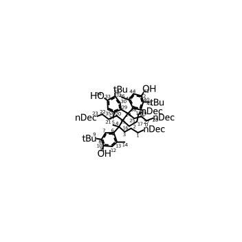 CCCCCCCCCCCCCC(C)(c1cc(C(C)(C)C)c(O)cc1C)C(CCCCCCCCCCCCC)(CCCCCCCCCCCCC)C(CCCCCCCCCCCCC)(c1cc(C(C)(C)C)c(O)cc1C)c1cc(C(C)(C)C)c(O)cc1C